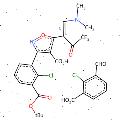 CN(C)/C=C(\C(=O)C(F)(F)F)c1onc(-c2cccc(C(=O)OC(C)(C)C)c2Cl)c1C(=O)O.O=Cc1cccc(C(=O)O)c1Cl